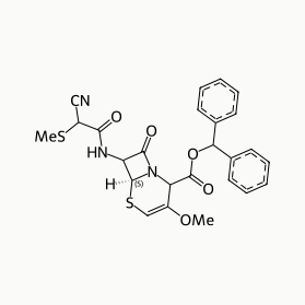 COC1=CS[C@H]2C(NC(=O)C(C#N)SC)C(=O)N2C1C(=O)OC(c1ccccc1)c1ccccc1